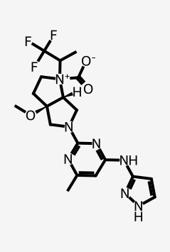 CO[C@@]12CC[N+](C(=O)[O-])(C(C)C(F)(F)F)[C@@H]1CN(c1nc(C)cc(Nc3cc[nH]n3)n1)C2